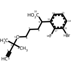 C#CC(C)(C)OCCCC(C(=O)O)c1cccc(Br)c1F